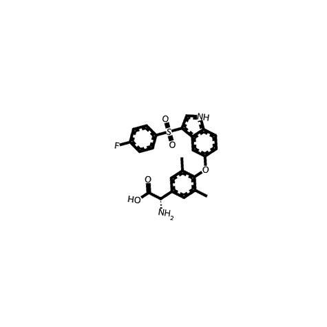 Cc1cc([C@H](N)C(=O)O)cc(C)c1Oc1ccc2[nH]cc(S(=O)(=O)c3ccc(F)cc3)c2c1